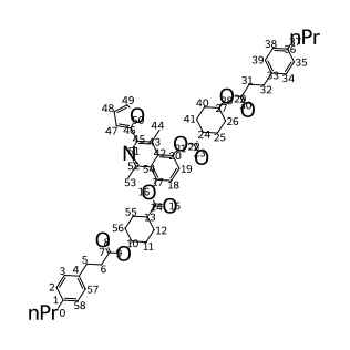 CCCc1ccc(CCC(=O)O[C@H]2CC[C@H](C(=O)Oc3ccc(OC(=O)[C@H]4CC[C@H](OC(=O)CCc5ccc(CCC)cc5)CC4)c4c(C)c(-c5ccco5)nc(C)c34)CC2)cc1